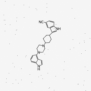 N#Cc1ccc2[nH]cc(C3CCC(N4CCN(c5cccc6[nH]ccc56)CC4)CC3)c2c1